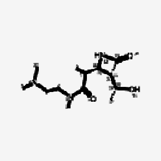 CC(C(=O)N(C)CCN(C)C)[C@H]1NC(=O)[C@@H]1[C@@H](C)O